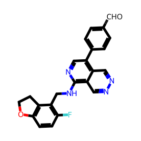 O=Cc1ccc(-c2cnc(NCc3c(F)ccc4c3CCO4)c3cnncc23)cc1